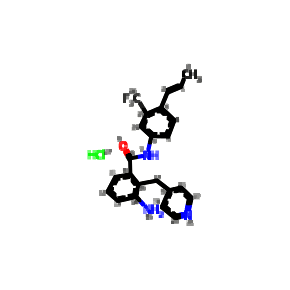 CC=Cc1ccc(NC(=O)c2cccc(N)c2Cc2ccncc2)cc1C(F)(F)F.Cl